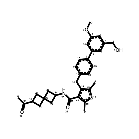 COc1cc(CO)cc(-c2ccc(Cc3c(C)sc(C)c3C(=O)NC3CC4(C3)CC(C(C)=O)C4)cc2)c1